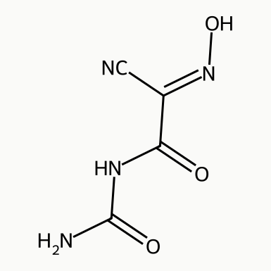 N#C/C(=N\O)C(=O)NC(N)=O